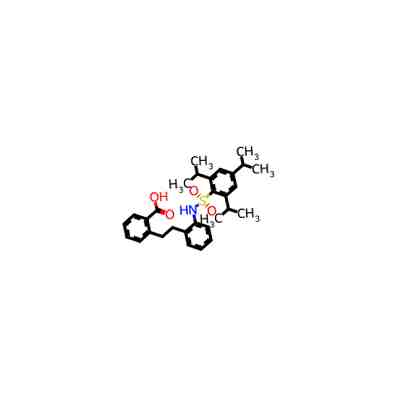 CC(C)c1cc(C(C)C)c(S(=O)(=O)Nc2ccccc2CCc2ccccc2C(=O)O)c(C(C)C)c1